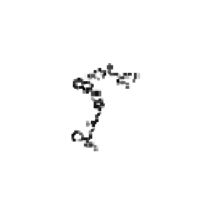 CN(CCCNCCCn1cc(CNc2nc(NC3CCN(C(=O)CC[C@H](N)C(=O)O)CC3)c3ccccc3n2)nn1)C1CCCCC1